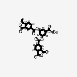 C=C1OC(=O)c2cc(C(=O)Oc3cc(OC(=O)c4ccc5c(c4)C(=O)OC5=O)cc(C(=O)CCCC)c3)ccc21